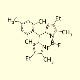 CCC1=C/C(=C(\c2c(C)cc(C)cc2C)c2cc(CC)c(C)n2B(F)F)N=C1C